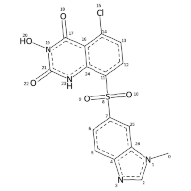 Cn1cnc2ccc(S(=O)(=O)c3ccc(Cl)c4c(=O)n(O)c(=O)[nH]c34)cc21